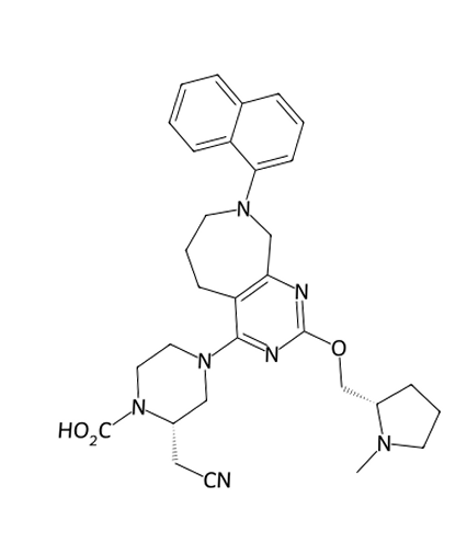 CN1CCC[C@H]1COc1nc2c(c(N3CCN(C(=O)O)[C@@H](CC#N)C3)n1)CCCN(c1cccc3ccccc13)C2